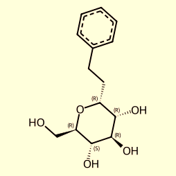 OC[C@H]1O[C@H](CCc2ccccc2)[C@H](O)[C@@H](O)[C@@H]1O